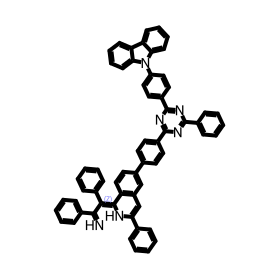 N=C(/C(=C1\NC(c2ccccc2)=Cc2cc(-c3ccc(-c4nc(-c5ccccc5)nc(-c5ccc(-n6c7ccccc7c7ccccc76)cc5)n4)cc3)ccc21)c1ccccc1)c1ccccc1